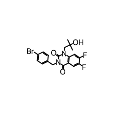 CC(C)(O)Cn1c(=O)n(Cc2ccc(Br)cc2)c(=O)c2cc(F)c(F)cc21